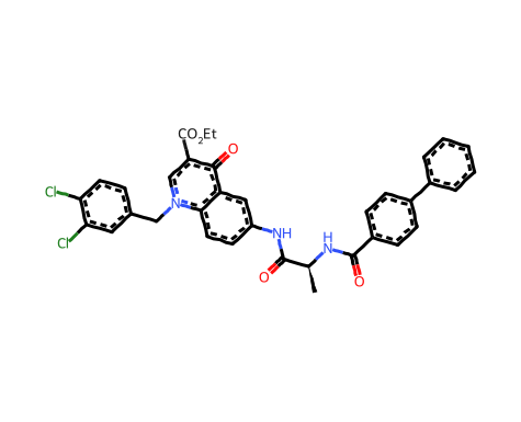 CCOC(=O)c1cn(Cc2ccc(Cl)c(Cl)c2)c2ccc(NC(=O)[C@H](C)NC(=O)c3ccc(-c4ccccc4)cc3)cc2c1=O